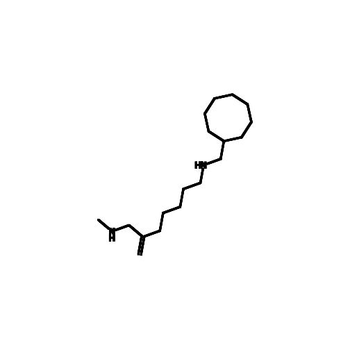 C=C(CCCCCNCC1CCCCCCC1)CNC